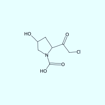 O=C(CCl)C1CC(O)CN1C(=O)O